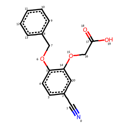 N#Cc1ccc(OCc2ccccc2)c(OCC(=O)O)c1